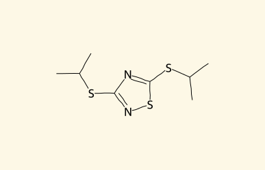 CC(C)Sc1nsc(SC(C)C)n1